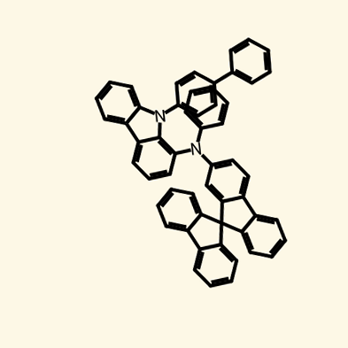 c1ccc(-c2ccc(-n3c4ccccc4c4cccc(N(c5ccccc5)c5ccc6c(c5)C5(c7ccccc7-c7ccccc75)c5ccccc5-6)c43)cc2)cc1